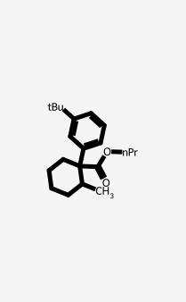 CCCOC(=O)C1(c2cccc(C(C)(C)C)c2)CCCCC1C